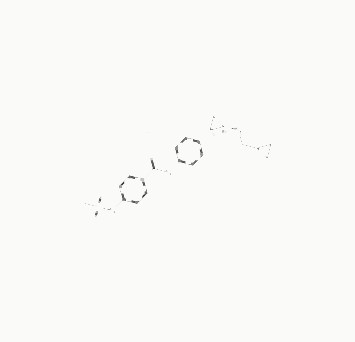 CS(=O)(=O)Nc1ccc(C(=O)Nc2ccc([C@@H]3C[C@H]3NCC3CC3)cc2)cc1.Cl